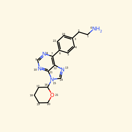 NCCc1ccc(-c2ncnc3c2ncn3C2CCCCO2)cc1